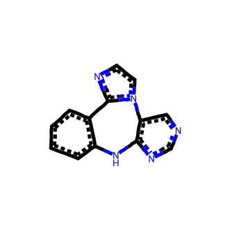 c1ccc2c(c1)Nc1ncncc1-n1ccnc1-2